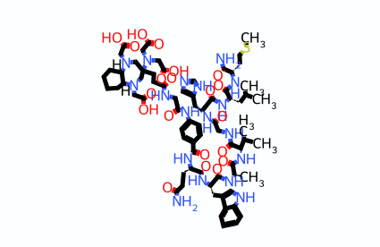 CSCC[C@H](NC(=O)[C@H](CC(C)C)NC(=O)[C@H](Cc1cnc[nH]1)NC(=O)CNC(=O)[C@@H](NC(=O)[C@H](C)NC(=O)[C@H](Cc1c[nH]c2ccccc12)NC(=O)[C@H](CCC(N)=O)NC(=O)c1ccc(NC(=O)CNC(=O)CCC2(N(CC(=O)O)CC(=O)O)CN(CC(=O)O)[C@@H]3CCCC[C@H]3N(CC(=O)O)C2)cc1)C(C)C)C(N)=O